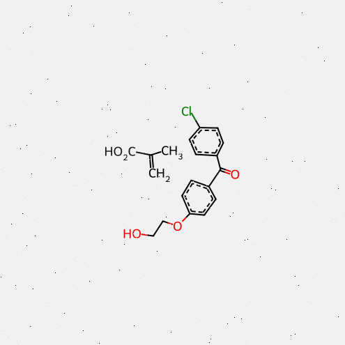 C=C(C)C(=O)O.O=C(c1ccc(Cl)cc1)c1ccc(OCCO)cc1